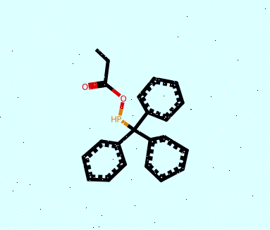 CCC(=O)OPC(c1ccccc1)(c1ccccc1)c1ccccc1